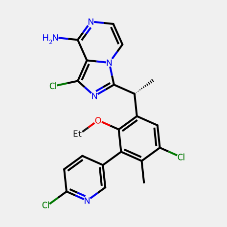 CCOc1c([C@@H](C)c2nc(Cl)c3c(N)nccn23)cc(Cl)c(C)c1-c1ccc(Cl)nc1